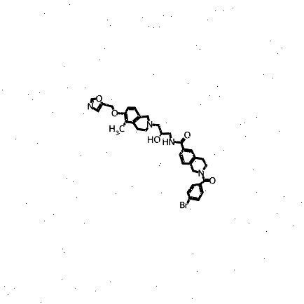 Cc1c(OCc2cnco2)ccc2c1CCN(C[C@@H](O)CNC(=O)c1ccc3c(c1)CCN(C(=O)c1ccc(Br)cc1)C3)C2